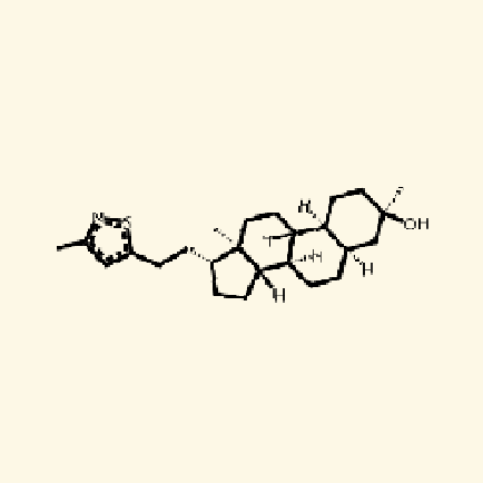 Cc1cc(CC[C@H]2CC[C@H]3[C@@H]4CC[C@@H]5C[C@](C)(O)CC[C@@H]5[C@H]4CC[C@]23C)sn1